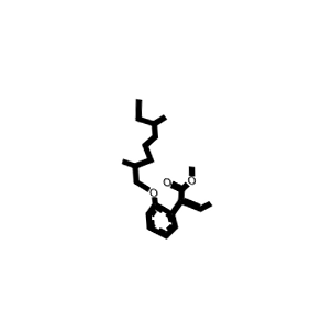 CC=C(C(=O)OC)c1ccccc1OCC(C)CCCC(C)CC